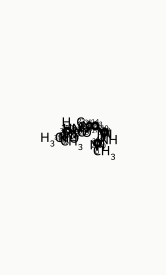 Cc1nccc(Nc2nccc(-c3ccc4c(c3)C(=O)N(C(C)C(=O)NC(CO)c3cccc(N(C)C)n3)C4)n2)n1